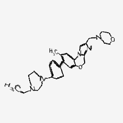 CCN1CCN(c2ccc(-c3cc4c(cc3C)-n3cc(CN5CCOCC5)nc3CO4)cc2)CC1